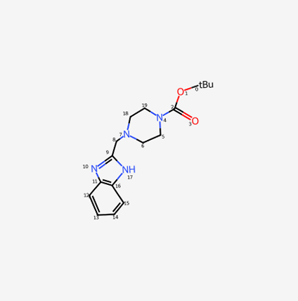 CC(C)(C)OC(=O)N1CCN(Cc2nc3[c]cccc3[nH]2)CC1